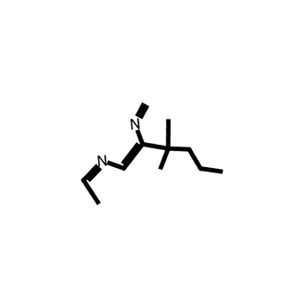 C=N/C(=C\N=C/C)C(C)(C)CCC